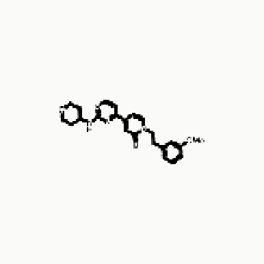 COc1cccc(CCn2ccc(-c3ccnc(NC4CCOCC4)n3)cc2=O)c1